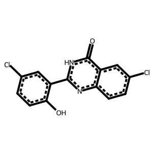 O=c1[nH]c(-c2cc(Cl)ccc2O)nc2ccc(Cl)cc12